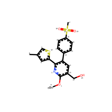 CCCCOc1nc(-c2cc(C)cs2)c(-c2ccc(S(C)(=O)=O)cc2)cc1CO